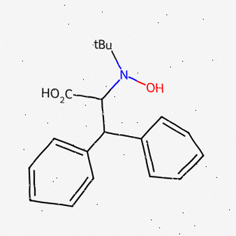 CC(C)(C)N(O)C(C(=O)O)C(c1ccccc1)c1ccccc1